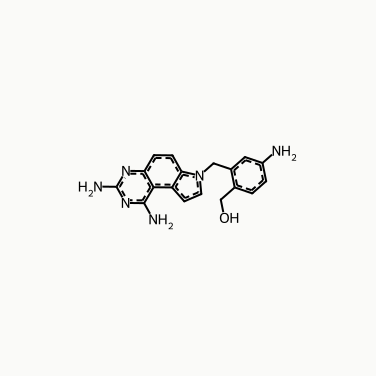 Nc1ccc(CO)c(Cn2ccc3c4c(N)nc(N)nc4ccc32)c1